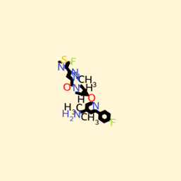 Cn1nc(-c2ncsc2F)cc1C(=O)N1C[C@@H]2[C@H](C1)[C@@H]2Oc1cc(C(C)(C)N)cc(-c2ccc(F)cc2)n1